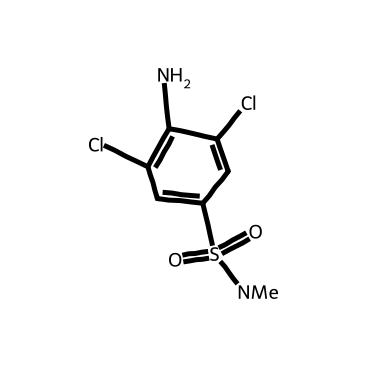 CNS(=O)(=O)c1cc(Cl)c(N)c(Cl)c1